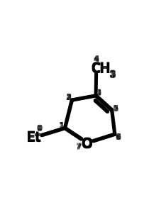 CCC1CC(C)=CCO1